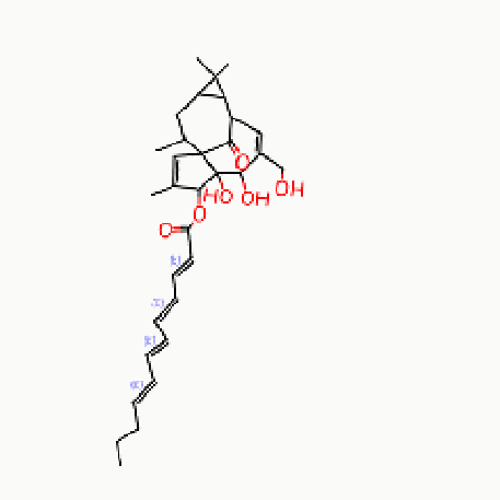 CCC/C=C/C=C/C=C/C=C/C(=O)OC1C(C)=CC23C(=O)C(C=C(CO)C(O)C12O)C1C(CC3C)C1(C)C